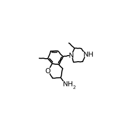 Cc1ccc(N2CCNCC2C)c2c1OCC(N)C2